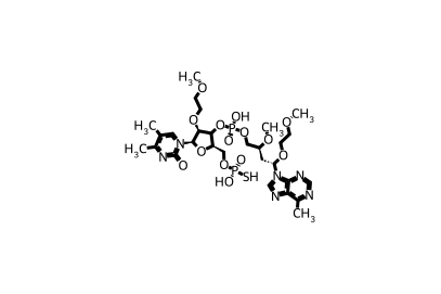 COCCO[C@@H](C[C@@H](COP(=O)(O)OC1[C@@H](COP(=O)(O)S)O[C@@H](n2cc(C)c(C)nc2=O)[C@H]1OCCOC)OC)n1cnc2c(C)ncnc21